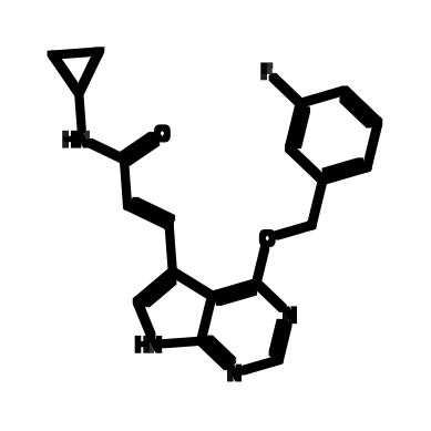 O=C(/C=C/c1c[nH]c2ncnc(OCc3cccc(F)c3)c12)NC1CC1